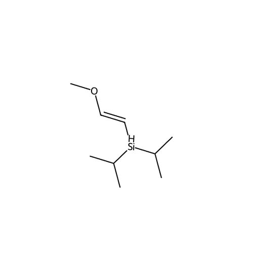 COC=C[SiH](C(C)C)C(C)C